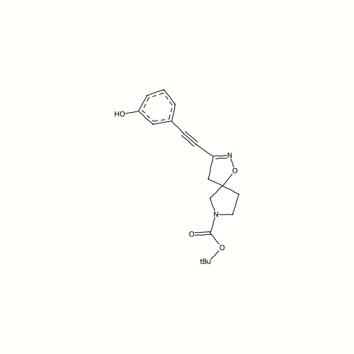 CC(C)(C)OC(=O)N1CCC2(CC(C#Cc3cccc(O)c3)=NO2)C1